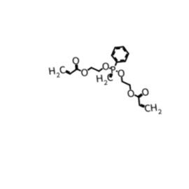 C=CC(=O)OCCOP(=C)(OCCOC(=O)C=C)c1ccccc1